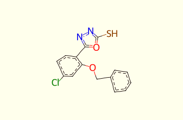 Sc1nnc(-c2ccc(Cl)cc2OCc2ccccc2)o1